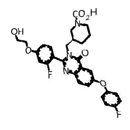 O=C(O)N1CCC[C@@H](Cn2c(-c3ccc(OCCO)cc3F)nc3ccc(Oc4ccc(F)cc4)cc3c2=O)C1